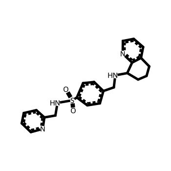 O=S(=O)(NCc1ccccn1)c1ccc(CNC2CCCc3cccnc32)cc1